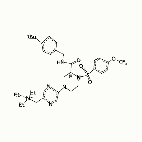 CC[N+](CC)(CC)Cc1cnc(N2CCN(S(=O)(=O)c3ccc(OC(F)(F)F)cc3)[C@@H](C(=O)NCc3ccc(C(C)(C)C)cc3)C2)cn1